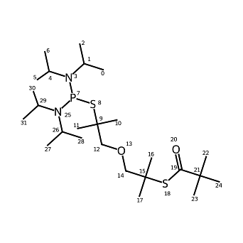 CC(C)N(C(C)C)P(SC(C)(C)COCC(C)(C)SC(=O)C(C)(C)C)N(C(C)C)C(C)C